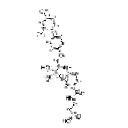 CC(C)(C)[C@@H](COc1ccc(-c2ccc(Cl)cc2Cl)cc1)Nc1ccc(C(=O)NCCC(=O)O)cc1